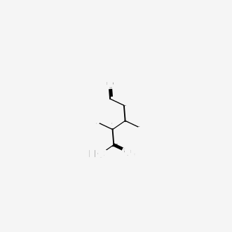 CC(CC=O)C(C)C(=O)O